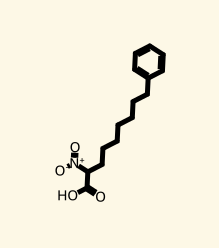 O=C(O)C(CCCCCCCc1ccccc1)[N+](=O)[O-]